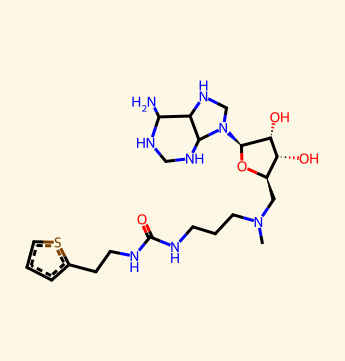 CN(CCCNC(=O)NCCc1cccs1)C[C@H]1O[C@@H](N2CNC3C(N)NCNC32)[C@H](O)[C@@H]1O